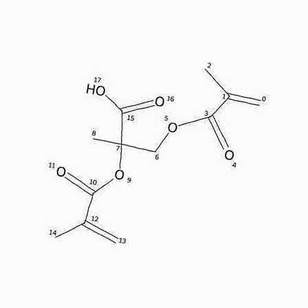 C=C(C)C(=O)OCC(C)(OC(=O)C(=C)C)C(=O)O